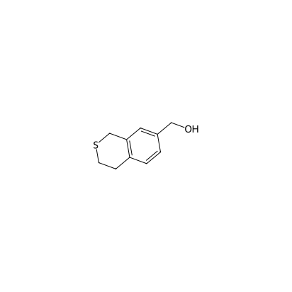 OCc1ccc2c(c1)CSCC2